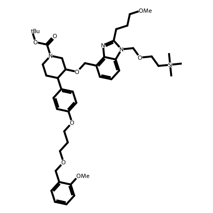 COCCCc1nc2c(COC3CN(C(=O)OC(C)(C)C)CCC3c3ccc(OCCCOCc4ccccc4OC)cc3)cccc2n1COCC[Si](C)(C)C